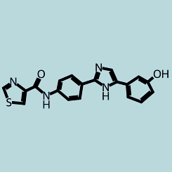 O=C(Nc1ccc(-c2ncc(-c3cccc(O)c3)[nH]2)cc1)c1cscn1